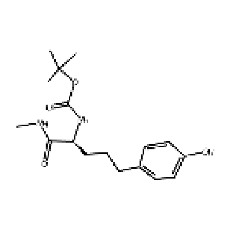 CNC(=O)[C@H](CCCc1ccc(O)cc1)NC(=O)OC(C)(C)C